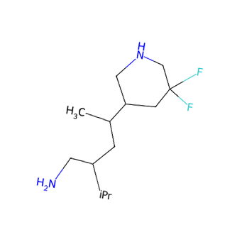 CC(C)C(CN)CC(C)C1CNCC(F)(F)C1